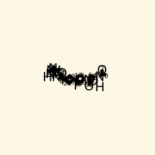 CC(=O)NC[C@H]1CN(c2ccc(N3CCN(CC(=O)Nc4nnnn4C)CC3)c(F)c2)C(=O)O1